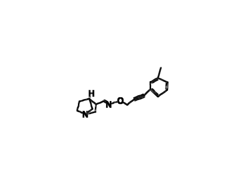 Cc1cccc(C#CCO/N=C/C2CN3CC[C@@H]2C3)c1